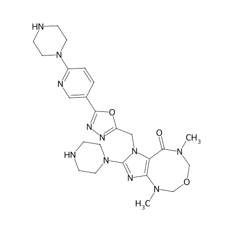 CN1COCN(C)c2nc(N3CCNCC3)n(Cc3nnc(-c4ccc(N5CCNCC5)nc4)o3)c2C1=O